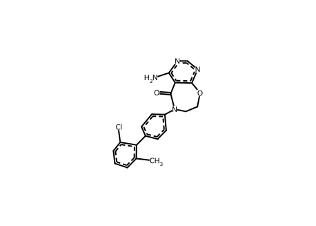 Cc1cccc(Cl)c1-c1ccc(N2CCOc3ncnc(N)c3C2=O)cc1